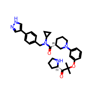 CC(C)(Oc1cccc(N2CCC[C@@H](C(=O)N(Cc3ccc(-c4cn[nH]c4)cc3)C3CC3)C2)c1)C(=O)[C@@H]1CCCN1